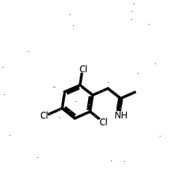 CC(=N)Cc1c(Cl)cc(Cl)cc1Cl